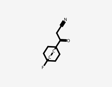 N#CCC(=O)C12CCC(F)(CC1)CC2